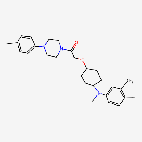 Cc1ccc(N2CCN(C(=O)COC3CCC(N(C)c4ccc(C)c(C(F)(F)F)c4)CC3)CC2)cc1